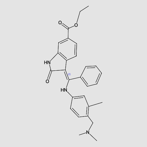 CCOC(=O)c1ccc2c(c1)NC(=O)/C2=C(\Nc1ccc(CN(C)C)c(C)c1)c1ccccc1